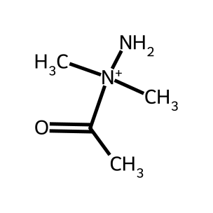 CC(=O)[N+](C)(C)N